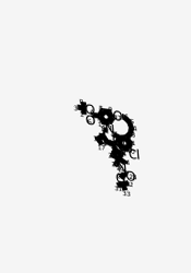 CC(C)(C)OC(=O)c1ccc2c(c1)N(C[C@@H]1CC[C@H]1[C@@H](O)C1=CC3(C1)CN(C(=O)OC(C)(C)C)C3)Cc1ccc(Cl)cc1CCCCO2